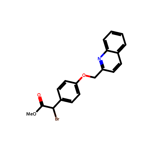 COC(=O)C(Br)c1ccc(OCc2ccc3ccccc3n2)cc1